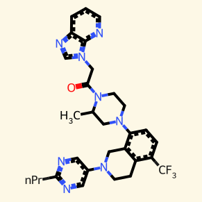 CCCc1ncc(N2CCc3c(C(F)(F)F)ccc(N4CCN(C(=O)Cn5cnc6cccnc65)C(C)C4)c3C2)cn1